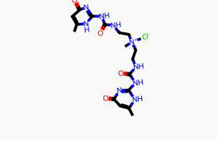 Cc1cc(=O)nc(NC(=O)NCC[N+](C)(C)CCNC(=O)Nc2nc(=O)cc(C)[nH]2)[nH]1.[Cl-]